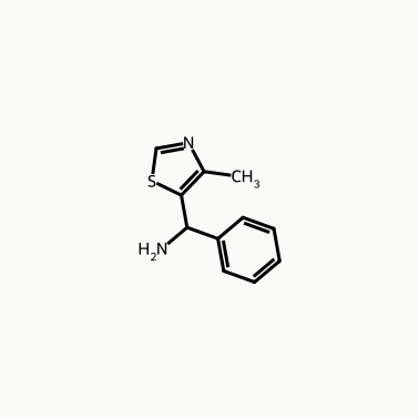 Cc1ncsc1C(N)c1ccccc1